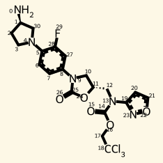 N[C@@H]1CCN(c2ccc(N3C[C@H](CN(C(=O)OCC(Cl)(Cl)Cl)c4ccon4)OC3=O)cc2F)C1